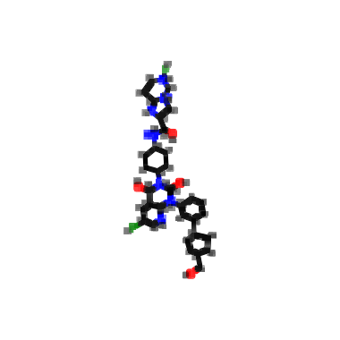 O=Cc1ccc(-c2cccc(-n3c(=O)n(C4CCC(NC(=O)C5=C[N+]6CN(F)C=CC6=N5)CC4)c(=O)c4cc(F)cnc43)c2)cc1